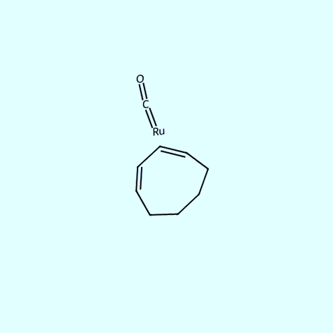 C1=CCCCCC=C1.O=[C]=[Ru]